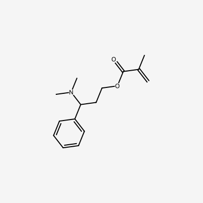 C=C(C)C(=O)OCCC(c1ccccc1)N(C)C